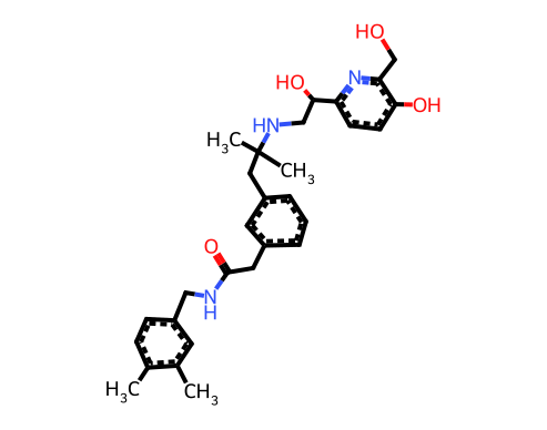 Cc1ccc(CNC(=O)Cc2cccc(CC(C)(C)NCC(O)c3ccc(O)c(CO)n3)c2)cc1C